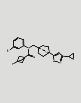 O=C(N(CC12CCC(c3nc(C4CC4)no3)(CC1)CC2)c1cccc(Br)c1)C12CC(F)(C1)C2